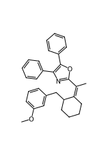 COc1cccc(CC2CCCCC2=C(C)c2nc(-c3ccccc3)c(-c3ccccc3)o2)c1